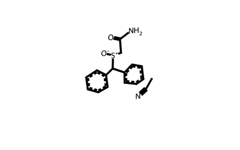 CC#N.NC(=O)C[S+]([O-])C(c1ccccc1)c1ccccc1